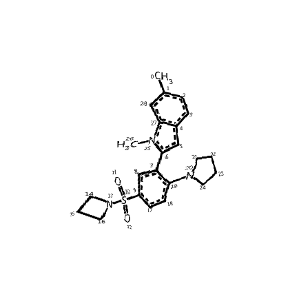 Cc1ccc2cc(-c3cc(S(=O)(=O)N4CCC4)ccc3N3CCCC3)n(C)c2c1